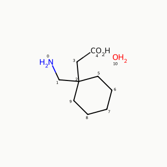 NCC1(CC(=O)O)CCCCC1.O